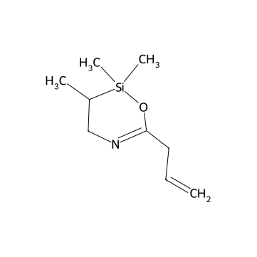 C=CCC1=NCC(C)[Si](C)(C)O1